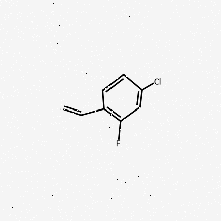 [CH]=Cc1ccc(Cl)cc1F